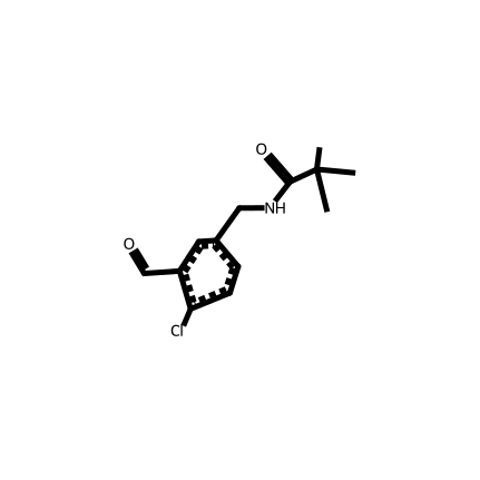 CC(C)(C)C(=O)NCc1ccc(Cl)c(C=O)c1